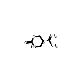 C=C(C)[C@@H]1CNC(=O)OC1